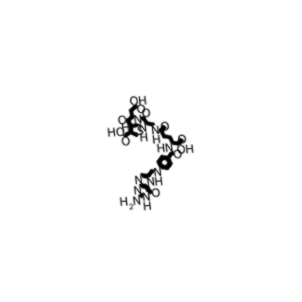 Nc1nc2ncc(CNc3ccc(C(=O)NC(CCC(=O)NCC4N[C@]56SCC(C(=O)O)[C@H]5C(=O)C(CC(=O)O)N6C4=O)C(=O)O)cc3)nc2c(=O)[nH]1